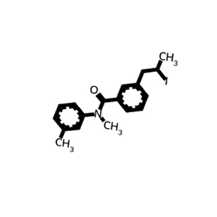 Cc1cccc(N(C)C(=O)c2cccc(CC(C)I)c2)c1